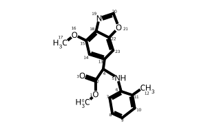 COC(=O)C(Nc1ccccc1C)c1cc(OC)c2ncoc2c1